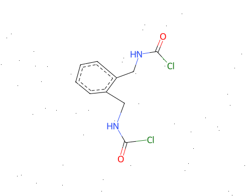 O=C(Cl)NCc1ccccc1CNC(=O)Cl